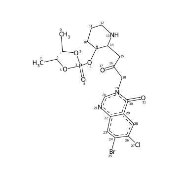 CCOP(=O)(OCC)OC1CCCNC1CC(=O)Cn1cnc2cc(Br)c(Cl)cc2c1=O